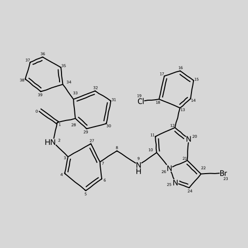 C=C(Nc1cccc(CNc2cc(-c3ccccc3Cl)nc3c(Br)cnn23)c1)c1ccccc1-c1ccccc1